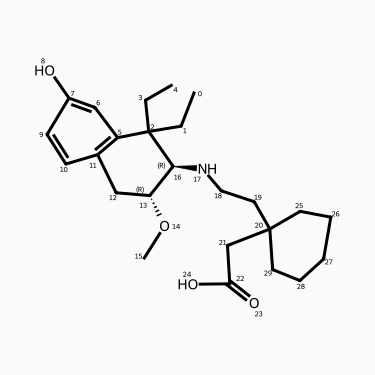 CCC1(CC)c2cc(O)ccc2C[C@@H](OC)[C@@H]1NCCC1(CC(=O)O)CCCCC1